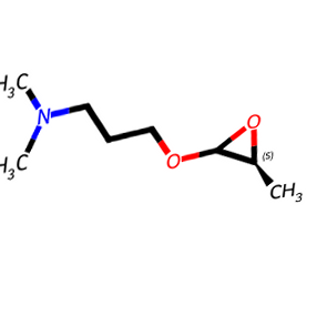 C[C@@H]1OC1OCCCN(C)C